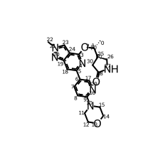 C[C@@H](Oc1nc(-c2ccc(N3CCOCC3)nc2)cc2nn(C)cc12)[C@H]1CNC(=O)C1